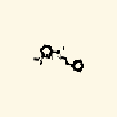 CN(C)c1cccc(C(=O)NCCc2ccccc2)c1